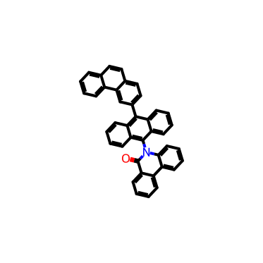 O=c1c2ccccc2c2ccccc2n1-c1c2ccccc2c(-c2ccc3ccc4ccccc4c3c2)c2ccccc12